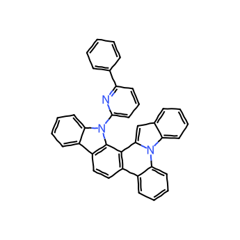 c1ccc(-c2cccc(-n3c4ccccc4c4ccc5c6ccccc6n6c7ccccc7cc6c5c43)n2)cc1